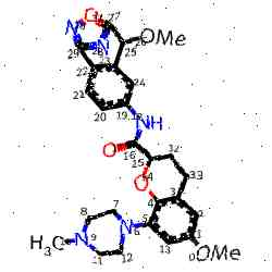 COc1cc2c(c(N3CCN(C)CC3)c1)OC(C(=O)Nc1ccc3c(c1)C(OC)c1nc-3no1)CC2